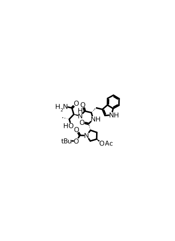 CC(=O)O[C@@H]1C[C@@H](C(=O)N[C@@H](Cc2c[nH]c3ccccc23)C(=O)N[C@H](C(N)=O)[C@@H](C)O)N(C(=O)OC(C)(C)C)C1